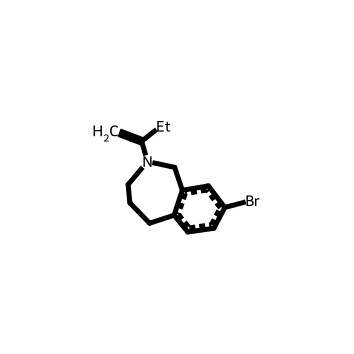 C=C(CC)N1CCCc2ccc(Br)cc2C1